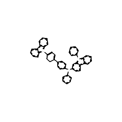 C1=C(c2ccc(N(c3ccccc3)c3ccc4c5ccccc5n(-c5ccccc5)c4c3)cc2)CCC(n2c3ccccc3c3ccccc32)=C1